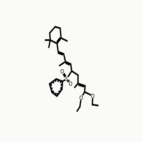 CCOC(/C=C(\C)CC(/C=C(C)/C=C/C1=C(C)CCCC1(C)C)S(=O)(=O)c1ccccc1)OCC